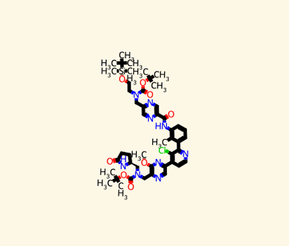 COc1nc(-c2ccnc(-c3cccc(NC(=O)c4cnc(CN(CCO[Si](C)(C)C(C)(C)C)C(=O)OC(C)(C)C)cn4)c3C)c2Cl)cnc1CN(C[C@@H]1CCC(=O)N1)C(=O)OC(C)(C)C